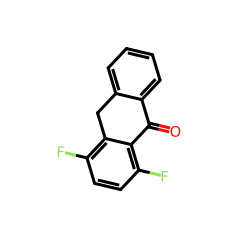 O=C1c2ccccc2Cc2c(F)ccc(F)c21